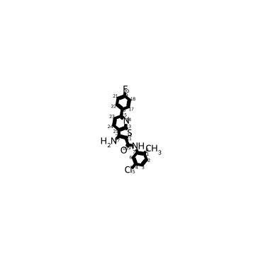 Cc1ccc(Cl)cc1NC(=O)c1sc2nc(-c3ccc(F)cc3)ccc2c1N